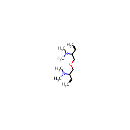 C=CC(COCC(C=C)N(C)C)N(C)C